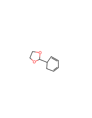 C1=CCC(C2OCCO2)C=C1